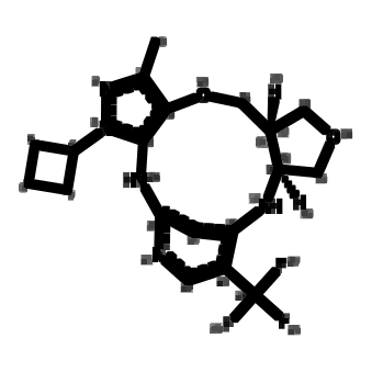 Cc1nn(C2CCC2)c2c1OC[C@@H]1COC[C@H]1Nc1cc(ncc1C(F)(F)F)N2